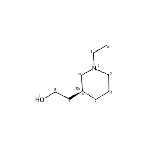 CCN1CCC[C@@H](CCO)C1